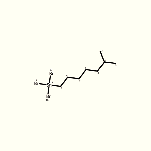 CC(C)CCCC[CH2][Sn]([Br])([Br])[Br]